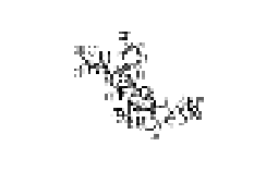 Cn1cc(-c2ccc3c(c2)CCC32OC(=O)N(CC(=O)N(Cc3ccc(F)cc3)C3CN(C(=O)OC(C)(C)C)CC3(F)F)C2=O)cn1